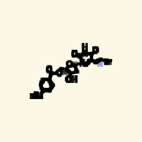 CCCCc1ccc(C(=O)OC[C@@H]2O[C@H](n3cc(/C=C/Br)c(=O)[nH]c3=O)CC2O)cc1